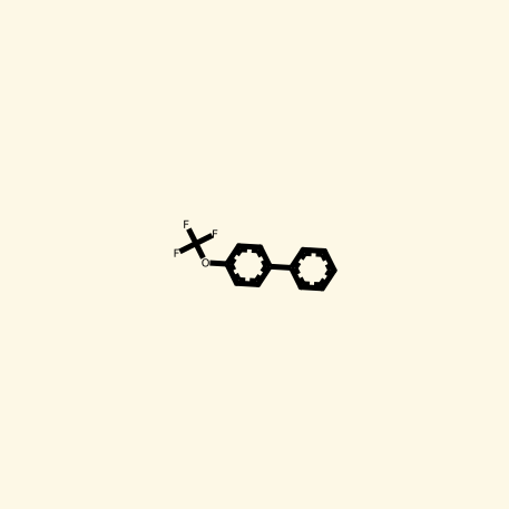 FC(F)(F)Oc1ccc(-c2ccccc2)cc1